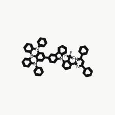 FC(F)(F)c1c(-c2nc(-c3ccccc3)cc(-c3ccccc3)n2)cccc1-n1c2ccccc2c2cc(-c3cc4c5c(c3)N(c3ccccc3)c3ccccc3B5c3ccccc3N4c3ccccc3)ccc21